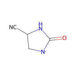 N#CC1C[N]C(=O)N1